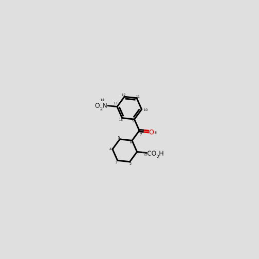 O=C(O)C1CCCCC1C(=O)c1cccc([N+](=O)[O-])c1